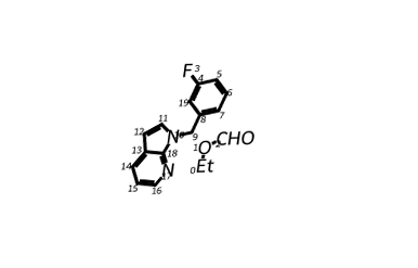 CCOC=O.Fc1cccc(Cn2ccc3cccnc32)c1